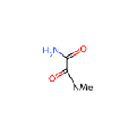 CNC(=O)C(N)=O